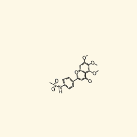 COc1cc2oc(-c3ccc(NS(C)(=O)=O)cc3)cc(=O)c2c(OC)c1OC